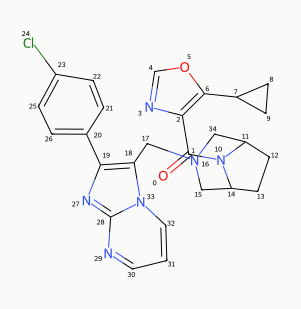 O=C(c1ncoc1C1CC1)N1C2CCC1CN(Cc1c(-c3ccc(Cl)cc3)nc3ncccn13)C2